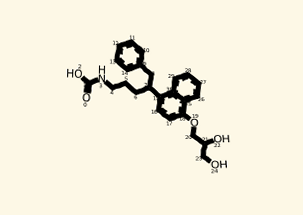 O=C(O)NCCCC(Cc1ccccc1)c1ccc(OCC(O)CO)c2ccccc12